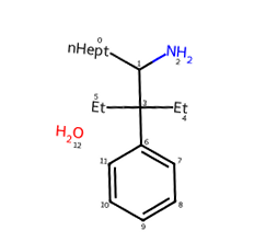 CCCCCCCC(N)C(CC)(CC)c1ccccc1.O